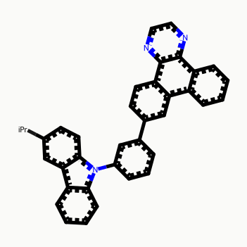 CC(C)c1ccc2c(c1)c1ccccc1n2-c1cccc(-c2ccc3c(c2)c2ccccc2c2nccnc32)c1